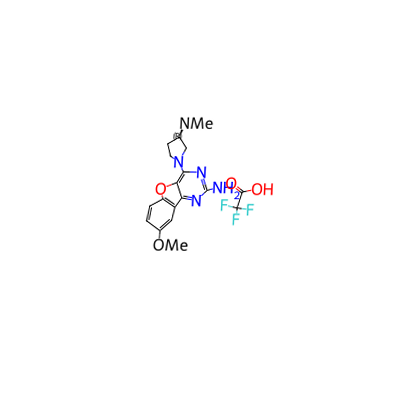 CN[C@@H]1CCN(c2nc(N)nc3c2oc2ccc(OC)cc23)C1.O=C(O)C(F)(F)F